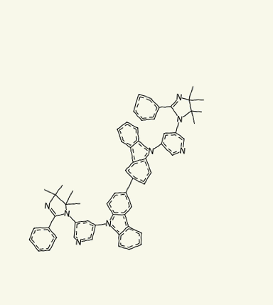 CC1(C)N=C(c2ccccc2)N(c2cncc(-n3c4ccccc4c4cc(-c5ccc6c(c5)c5ccccc5n6-c5cncc(N6C(c7ccccc7)=NC(C)(C)C6(C)C)c5)ccc43)c2)C1(C)C